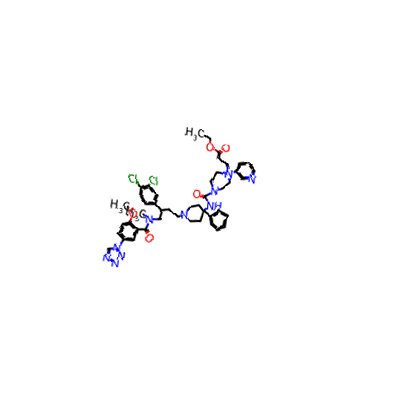 CCOC(=O)CC[N+]1(c2cccnc2)CCN(C(=O)NC2(c3ccccc3)CCN(CCC(CN(C)C(=O)c3cc(-n4cnnn4)ccc3OC)c3ccc(Cl)c(Cl)c3)CC2)CC1